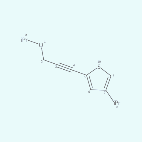 CC(C)OCC#Cc1cc(C(C)C)cs1